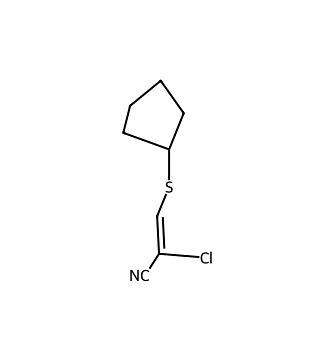 N#C/C(Cl)=C/SC1CCCC1